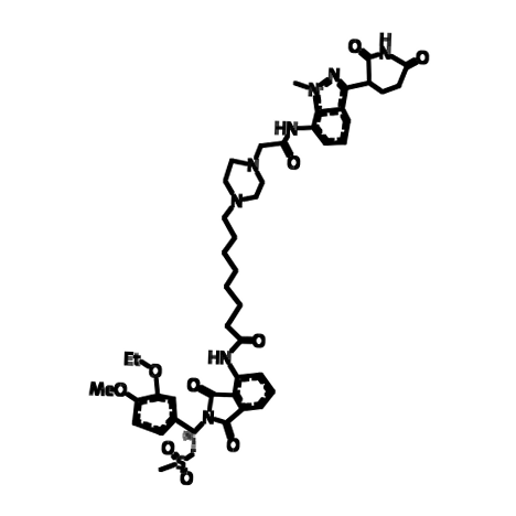 CCOc1cc([C@@H](CS(C)(=O)=O)N2C(=O)c3cccc(NC(=O)CCCCCCCN4CCN(CC(=O)Nc5cccc6c(C7CCC(=O)NC7=O)nn(C)c56)CC4)c3C2=O)ccc1OC